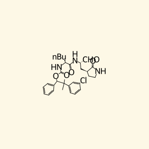 CCCC[C@H](NC(=O)OC(c1ccccc1)C(C)(C)c1cccc(Cl)c1)C(=O)N[C@H](C=O)C[C@@H]1CCNC1=O